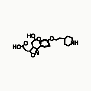 O=C(O)C[C@H]1ON=C(c2ccc(OCCC3CCNCC3)cc2)[C@@H]1CC(=O)O